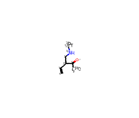 C=CC(CNC(C)C)C(=O)C=O